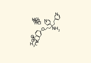 CN1Cc2cc(OCCCC(N)(CCc3cccnc3)c3ccncc3)ccc2S1(=O)=O.Cl.Cl.Cl